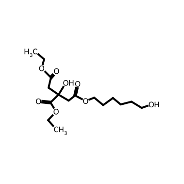 CCOC(=O)CC(O)(CC(=O)OCCCCCCO)C(=O)OCC